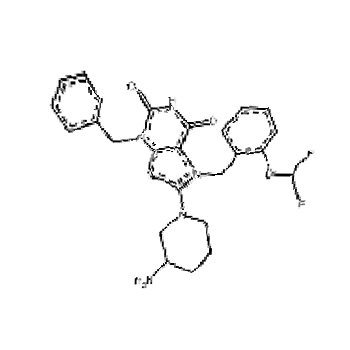 NC1CCCN(c2nc3c(c(=O)[nH]c(=O)n3Cc3ccccc3)n2Cc2ccccc2OC(F)F)C1